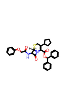 O=C(COc1ccccc1)NC1C(=O)N2C(C(=O)OC(c3ccccc3)c3ccccc3)=C(C3CCCC3)CS[C@@H]12